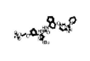 CC(C)(C)c1cc(NC(=O)N[C@H]2CC[C@@H](ON3C=Cc4nnc(N5CCCCC5)n4C3)c3ccccc32)n(-c2cccc(OCCOS(C)(=O)=O)c2)n1